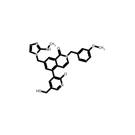 CNc1nccn1Cc1cc(-c2cc(CO)cnc2Cl)c2ccn(Cc3cccc(OC)c3)c(=O)c2c1